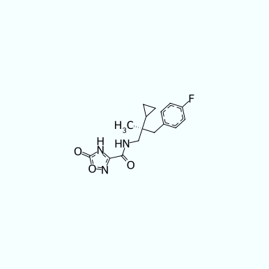 C[C@@](CNC(=O)c1noc(=O)[nH]1)(Cc1ccc(F)cc1)C1CC1